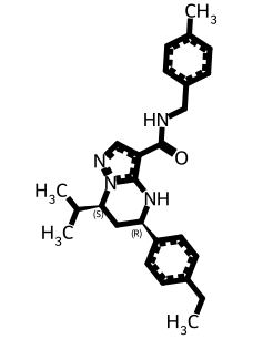 CCc1ccc([C@H]2C[C@@H](C(C)C)n3ncc(C(=O)NCc4ccc(C)cc4)c3N2)cc1